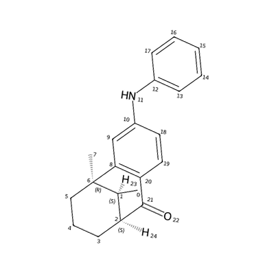 C[C@H]1[C@@H]2CCC[C@@]1(C)c1cc(Nc3ccccc3)ccc1C2=O